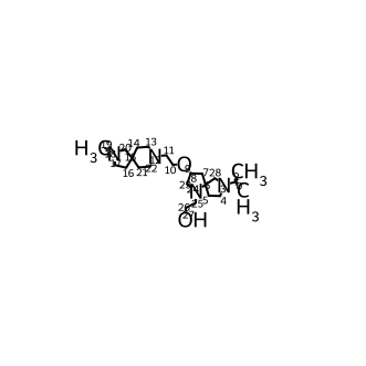 CC(C)N1CCC2(CC(OCCN3CCC4(CCN(C)C4)CC3)CN2CCO)C1